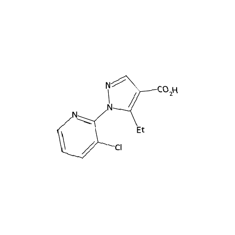 CCc1c(C(=O)O)cnn1-c1ncccc1Cl